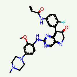 C=CC(=O)Nc1ccc(F)c(C2=c3nc(Nc4ccc(N5CCN(C)CC5)cc4OC)ncc3=NCC2=O)c1